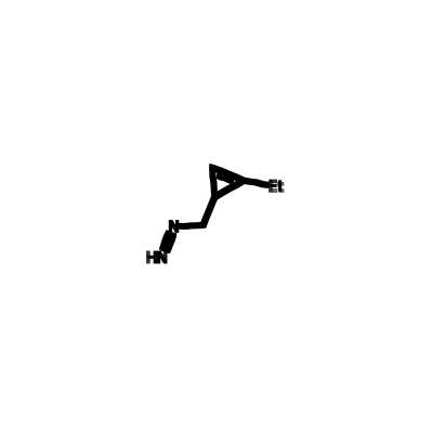 CCC1=CC1CN=N